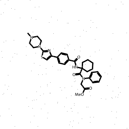 COC(=O)CN(C(=O)C1(NC(=O)c2ccc(-c3csc(N4CCN(C)CC4)n3)cc2)CCCCC1)c1ccccc1